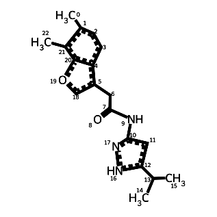 Cc1ccc2c(CC(=O)Nc3cc(C(C)C)[nH]n3)coc2c1C